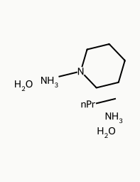 CCCC.CN1CCCCC1.N.N.O.O